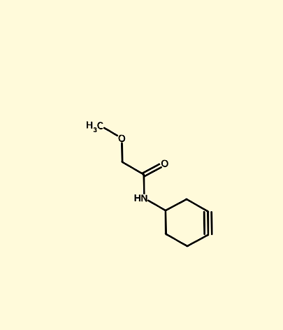 COCC(=O)NC1CC#CCC1